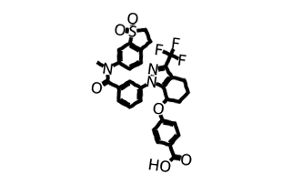 CN(C(=O)c1cccc(-n2nc(C(F)(F)F)c3c2C(Oc2ccc(C(=O)O)cc2)CCC3)c1)c1ccc2c(c1)S(=O)(=O)CC2